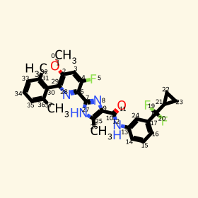 COc1cc(F)c(-c2nc(C(=O)Nc3cccc(C(F)(F)C4CC4)c3)c(C)[nH]2)nc1-c1c(C)cccc1C